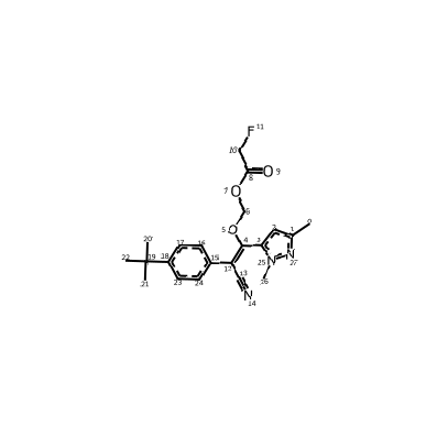 Cc1cc(/C(OCOC(=O)CF)=C(\C#N)c2ccc(C(C)(C)C)cc2)n(C)n1